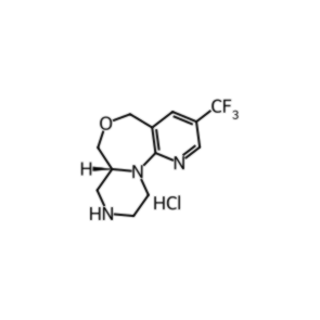 Cl.FC(F)(F)c1cnc2c(c1)COC[C@H]1CNCCN21